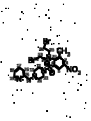 Cc1cc([N+](=O)[O-])cc(S(=O)(=O)N2CCN(Cc3ccccn3)CC2)c1N(CCBr)CCBr